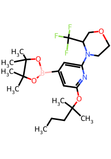 CCCC(C)(C)Oc1cc(B2OC(C)(C)C(C)(C)O2)cc(N2CCOCC2C(F)(F)F)n1